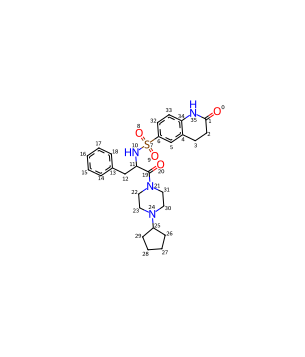 O=C1CCc2cc(S(=O)(=O)NC(Cc3ccccc3)C(=O)N3CCN(C4CCCC4)CC3)ccc2N1